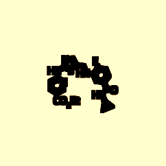 CCOC(=O)c1ccc(Nc2ncc(CNc3cc(C(=O)NC4CC4)ccc3F)s2)nc1